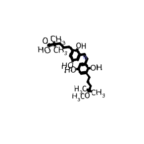 COC(C)(C)CCCC1=CC(O)C=C(/C=C\C2=CC(O)C=C(CCCC(C)(C)C(=O)O)C2O)C1O